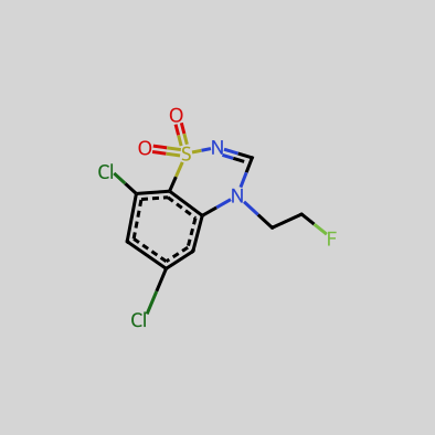 O=S1(=O)N=CN(CCF)c2cc(Cl)cc(Cl)c21